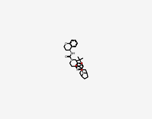 CC(C)(C)OC(=O)N1CC2CCC(C1)N2c1ccc2c(n1)CCN(C(=O)N[C@H]1CCOc3ccccc31)C2